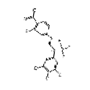 O=C(O)c1ccc(C=C[C@@H](c2cc(Cl)c(Cl)c(Cl)c2)C(F)(F)F)cc1Br